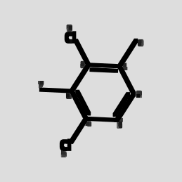 Cc1c[c]c(Cl)c(C)c1Cl